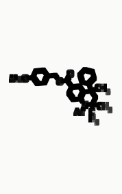 COc1ccc(COC(=O)c2ccc3c(c2)C(C)(c2ccccc2)CC(C)(C)N3C(C)=O)cc1